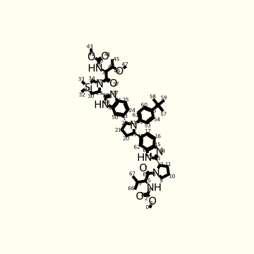 COC(=O)N[C@H](C(=O)N1CCC[C@H]1c1nc2ccc([C@H]3CC[C@H](c4ccc5nc([C@@H]6C[Si](C)(C)CN6C(=O)[C@@H](NC(=O)OC)C(C)OC)[nH]c5c4)N3c3ccc(C(C)(C)C)cc3)cc2[nH]1)C(C)C